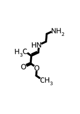 CCOC(=O)C(C)=CNCCN